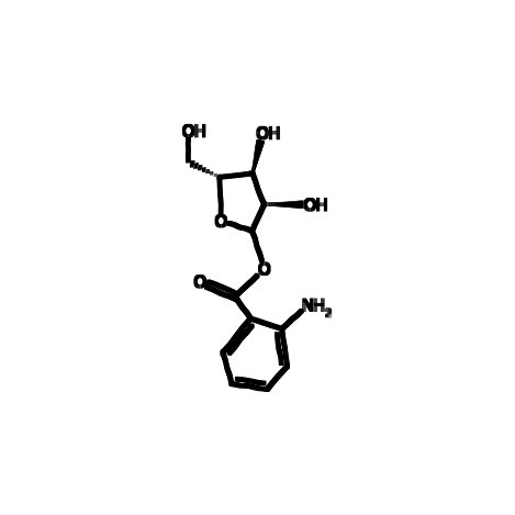 Nc1ccccc1C(=O)OC1O[C@H](CO)[C@@H](O)[C@H]1O